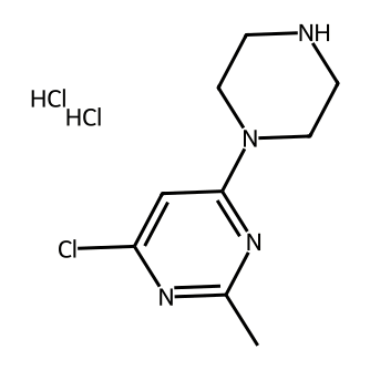 Cc1nc(Cl)cc(N2CCNCC2)n1.Cl.Cl